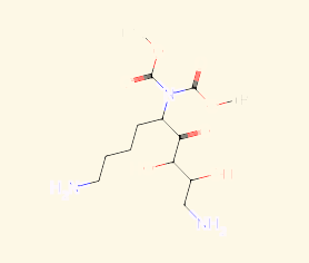 CC(C)(C)OC(=O)N(C(=O)OC(C)(C)C)C(CCCCN)C(=O)C(O)C(O)CN